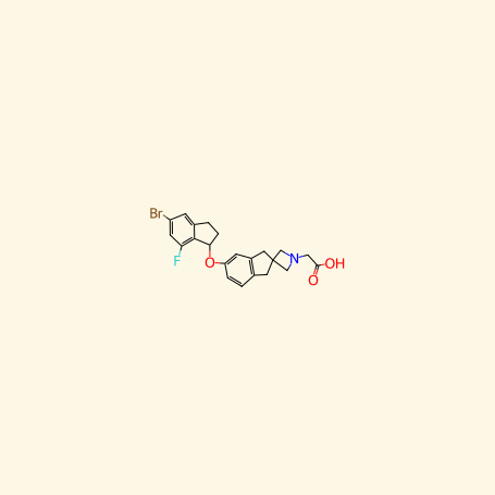 O=C(O)CN1CC2(Cc3ccc(OC4CCc5cc(Br)cc(F)c54)cc3C2)C1